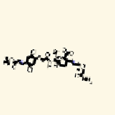 CC(C)(C)OC(=O)/C=C/c1cc(Cl)c(SCC(=O)N[C@H]2[C@H]3CCC(/C=C/C[N+](C)(C)CC(N)=O)=C(C(=O)[O-])N3[S+]2[O-])cc1Cl